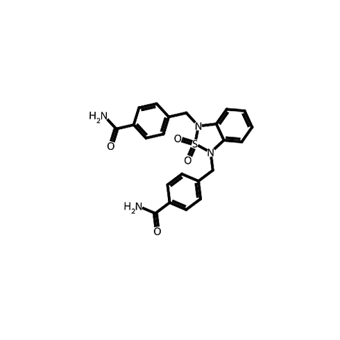 NC(=O)c1ccc(CN2c3ccccc3N(Cc3ccc(C(N)=O)cc3)S2(=O)=O)cc1